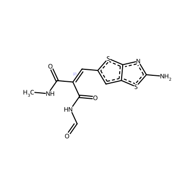 CNC(=O)/C(=C/c1cc2sc(N)nc2s1)C(=O)NC=O